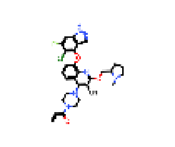 C=CC(=O)N1CCN(c2c(C#N)c(OCC3CCCN3C)nc3c(Oc4c(Cl)c(F)cc5[nH]ncc45)cccc23)CC1